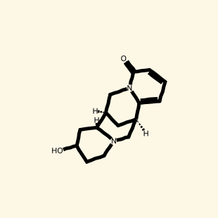 O=c1cccc2n1C[C@H]1C[C@@H]2CN2CCC(O)C[C@@H]12